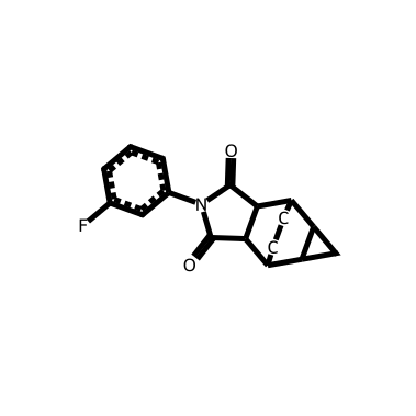 O=C1C2C3CCC(C4CC43)C2C(=O)N1c1cccc(F)c1